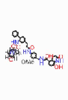 COc1cc(NC(=O)CCc2ccc(-c3ccccc3)c(NC(=O)OC3C[C@@H]4[C@H]5O[C@H]5[C@H](C3)[N+]4(C)C)c2)ccc1CNC[C@H](O)c1ccc(O)c2[nH]c(=O)ccc12